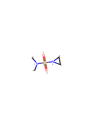 CN(C)S(=O)(=O)N1CC1